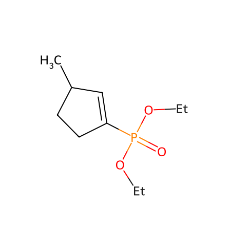 CCOP(=O)(OCC)C1=CC(C)CC1